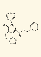 O=C(OCc1ccccc1)c1cc(-c2ccccc2)c(=O)n2c1-c1sccc1CC2